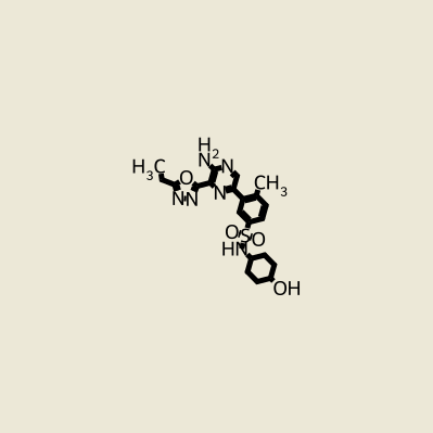 CCc1nnc(-c2nc(-c3cc(S(=O)(=O)NC4CCC(O)CC4)ccc3C)cnc2N)o1